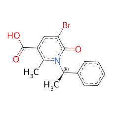 Cc1c(C(=O)O)cc(Br)c(=O)n1[C@H](C)c1ccccc1